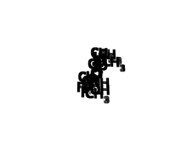 CCC(N(C)C)S(=O)(=O)c1ccc(NC(=O)[C@@](C)(O)C(F)(F)F)c(Cl)c1